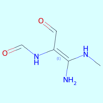 CN/C(N)=C(\C=O)NC=O